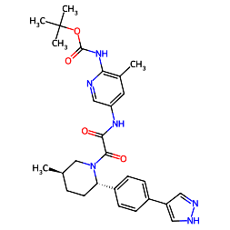 Cc1cc(NC(=O)C(=O)N2C[C@H](C)CC[C@H]2c2ccc(-c3cn[nH]c3)cc2)cnc1NC(=O)OC(C)(C)C